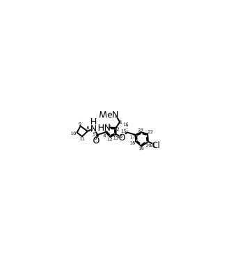 CNCc1[nH]c(C(=O)NC2CCC2)cc1O[C@H](C)c1ccc(Cl)cc1